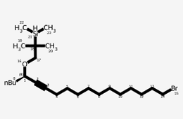 CCCC[C@H](C#CCCCCCCCCCCCBr)OCC(C)(C)[SiH](C)C